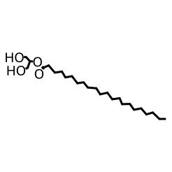 CCCCCCCCCCCCCCCCCCCCCC(=O)OC(CO)CO